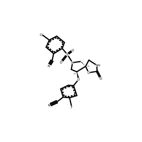 N#Cc1ccc(O[C@H]2CN(S(=O)(=O)c3ccc(Cl)cc3C#N)C[C@@]23CNC(=O)O3)cc1F